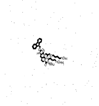 CCCCCCCCCCCCCCOCC(CNC(=O)C(CC1CCN(C(=O)OC(C)(C)C)CC1)NC(=O)OCC1c2ccccc2-c2ccccc21)OCCCCCCCCCCCCCC